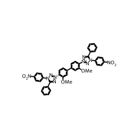 COc1cc(-c2ccc(-[n+]3nc(-c4ccccc4)n(-c4ccc([N+](=O)[O-])cc4)n3)c(OC)c2)ccc1-[n+]1nc(-c2ccccc2)n(-c2ccc([N+](=O)[O-])cc2)n1